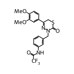 COc1ccc(C2=NN(Cc3cccc(NC(=O)C(F)(F)F)c3)C(=O)SC2)cc1OC